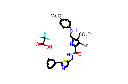 CCOC(=O)c1c(CNc2ccc(OC)cc2)[nH]c(C(=O)NCc2cnc(-c3ccccc3)s2)c1CC.O=C(O)C(F)(F)F